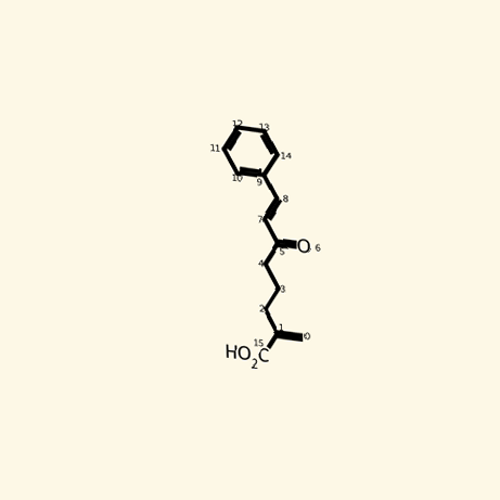 C=C(CCCC(=O)C=Cc1ccccc1)C(=O)O